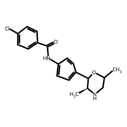 CC1CN[C@@H](C)C(c2ccc(NC(=O)c3ccc(Cl)cc3)cc2)O1